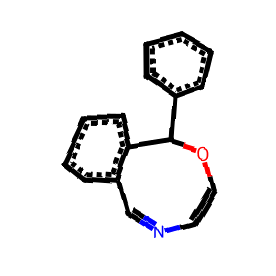 C1=COC(c2ccccc2)c2ccccc2C=N1